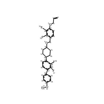 C=CCOc1ccc(COC2CCC(c3ccc(-c4ccc(OCC)cc4)c(F)c3F)CC2)c(F)c1F